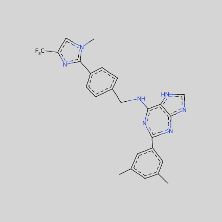 Cc1cc(C)cc(-c2nc(NCc3ccc(-c4nc(C(F)(F)F)cn4C)cc3)c3[nH]cnc3n2)c1